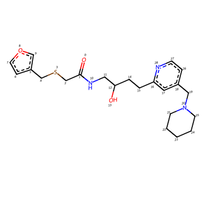 O=C(CSCc1ccoc1)NCC(O)CCc1cc(CN2CCCCC2)ccn1